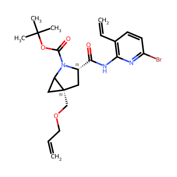 C=CCOC[C@]12CC1N(C(=O)OC(C)(C)C)[C@H](C(=O)Nc1nc(Br)ccc1C=C)C2